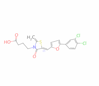 C=c1s/c(=C\c2ccc(-c3ccc(Cl)c(Cl)c3)o2)c(=O)n1CCCC(=O)O